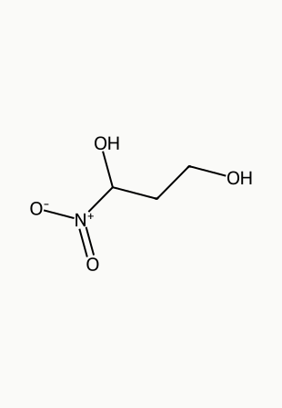 O=[N+]([O-])C(O)CCO